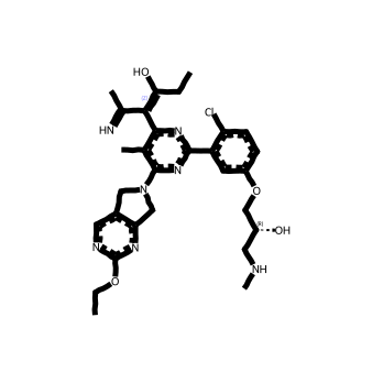 CCOc1ncc2c(n1)CN(c1nc(-c3cc(OC[C@H](O)CNC)ccc3Cl)nc(/C(C(C)=N)=C(/O)CC)c1C)C2